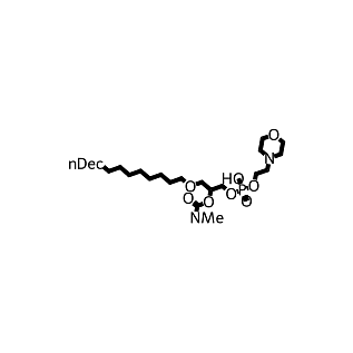 CCCCCCCCCCCCCCCCCCOCC(COP(=O)(O)OCCN1CCOCC1)OC(=O)NC